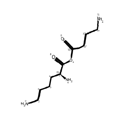 NCCCC[C@H](N)C(=O)OC(=O)CCCN